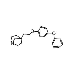 c1ccc(Oc2ccc(OCCC34CCN(CC3)C4)cc2)cc1